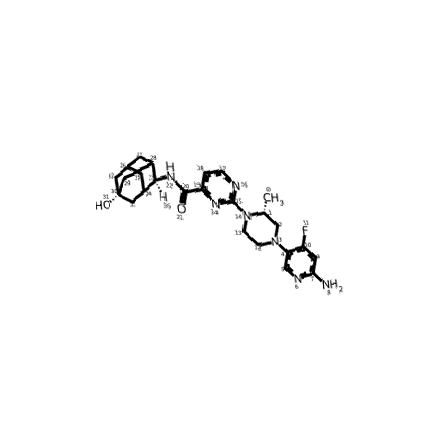 C[C@@H]1CN(c2cnc(N)cc2F)CCN1c1nccc(C(=O)N[C@H]2C3CC4CC2C[C@](O)(C4)C3)n1